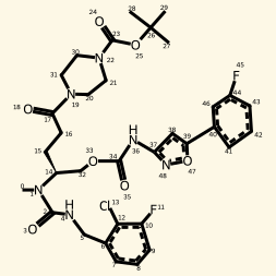 CN(C(=O)NCc1cccc(F)c1Cl)[C@@H](CCC(=O)N1CCN(C(=O)OC(C)(C)C)CC1)COC(=O)Nc1cc(-c2cccc(F)c2)on1